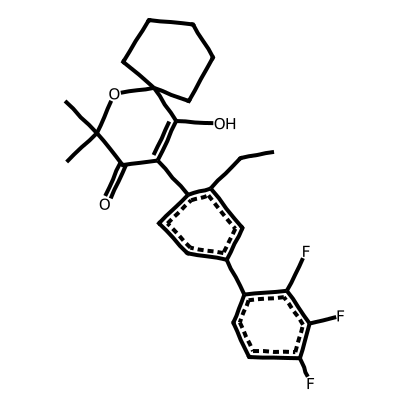 CCc1cc(-c2ccc(F)c(F)c2F)ccc1C1=C(O)C2(CCCCC2)OC(C)(C)C1=O